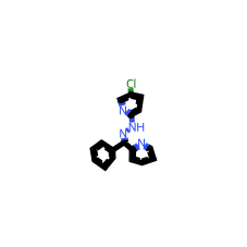 Clc1ccc(NN=C(c2ccccc2)c2ccccn2)nc1